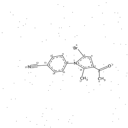 CC(=O)c1cc(Br)n(-c2ccc(C#N)cc2)c1C